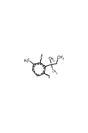 CCC(C)(C)c1c(F)ccc(C)c1F